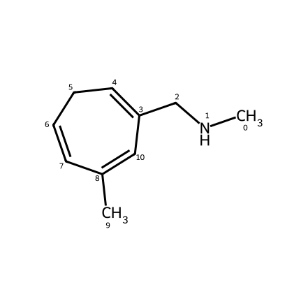 CNCC1=CCC=CC(C)=C1